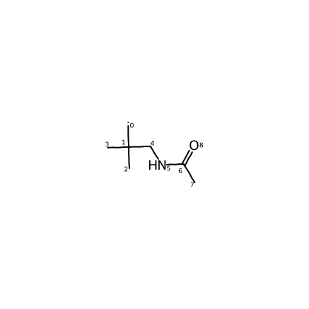 [CH2]C(C)(C)CNC(C)=O